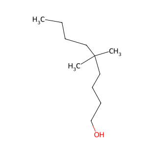 CCCCC(C)(C)CCCCO